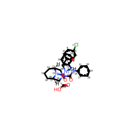 CN(Cc1ccc(Cl)cc1)C(=O)N1[C@H]2CCC[C@@H]1[C@@H](C(=O)O)N(C(=O)N(c1ccccc1)c1ccccc1)C2